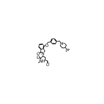 CNC(=O)C(CCC=O)N1Cc2c(OCc3ccc(CN4CCC(N(C)C)CC4)cc3)cccc2C1=O